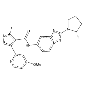 COc1ccnc(-c2cnn(C)c2C(=O)Nc2ccn3nc(N4CCC[C@@H]4C)nc3c2)c1